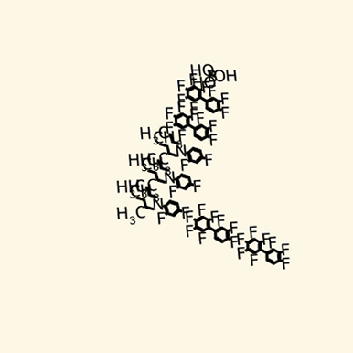 CCCCN(CC(C)CCC)c1ccc(F)cc1F.CCCCN(CC(C)CCC)c1ccc(F)cc1F.CCCCN(CC(C)CCC)c1ccc(F)cc1F.Fc1ccc(-c2c(F)c(F)c(F)c(F)c2F)c(F)c1F.Fc1ccc(-c2c(F)c(F)c(F)c(F)c2F)c(F)c1F.Fc1ccc(-c2c(F)c(F)c(F)c(F)c2F)c(F)c1F.Fc1ccc(-c2c(F)c(F)c(F)c(F)c2F)c(F)c1F.OB(O)O